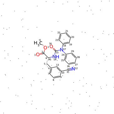 COC(=O)[C@@H](Cc1cccc(C#N)c1)NC(=O)N(c1ccccc1)c1ccccc1